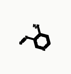 Nc1ccncc1N=O